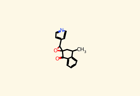 CC1CC2(OC2c2ccncc2)C(=O)c2ccccc21